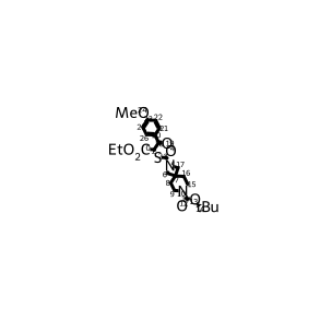 CCOC(=O)C(SC(=O)N1CC2(CCN(C(=O)OC(C)(C)C)CC2)C1)C(=O)c1ccc(OC)cc1